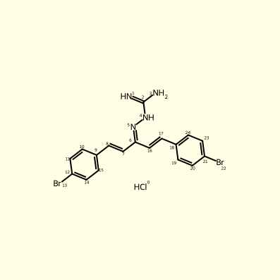 Cl.N=C(N)NN=C(C=Cc1ccc(Br)cc1)C=Cc1ccc(Br)cc1